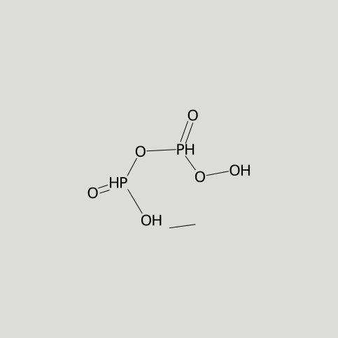 CC.O=[PH](O)O[PH](=O)OO